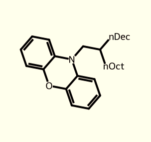 CCCCCCCCCCC(CCCCCCCC)CN1c2ccccc2Oc2ccccc21